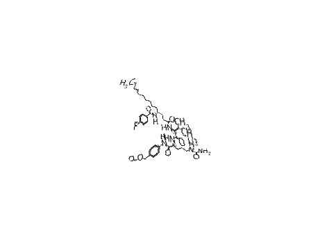 CCCCCCCCCCC(CCC(=O)N[C@H](C(=O)N[C@@H](CCCNC(N)=O)C(=O)Nc1ccc(COC=O)cc1)C(C)C)NC(=O)c1ccc(F)cc1